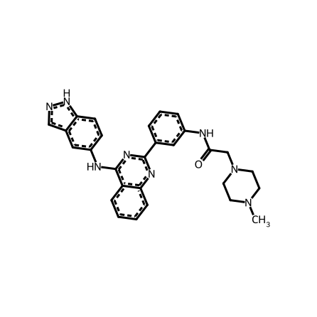 CN1CCN(CC(=O)Nc2cccc(-c3nc(Nc4ccc5[nH]ncc5c4)c4ccccc4n3)c2)CC1